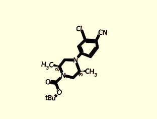 C[C@@H]1CN(C(=O)OC(C)(C)C)[C@@H](C)CN1c1ccc(C#N)c(Cl)c1